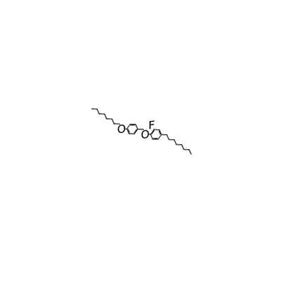 CCCCCCCCOc1ccc(COc2ccc(CCCCCCCC)cc2F)cc1